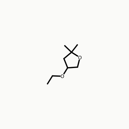 CCOC1COC(C)(C)C1